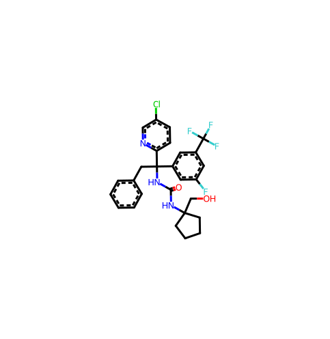 O=C(NC1(CO)CCCC1)NC(Cc1ccccc1)(c1cc(F)cc(C(F)(F)F)c1)c1ccc(Cl)cn1